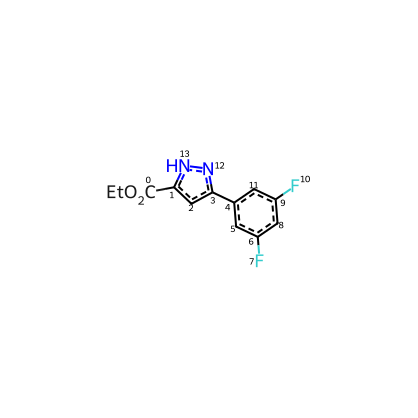 CCOC(=O)c1cc(-c2cc(F)cc(F)c2)n[nH]1